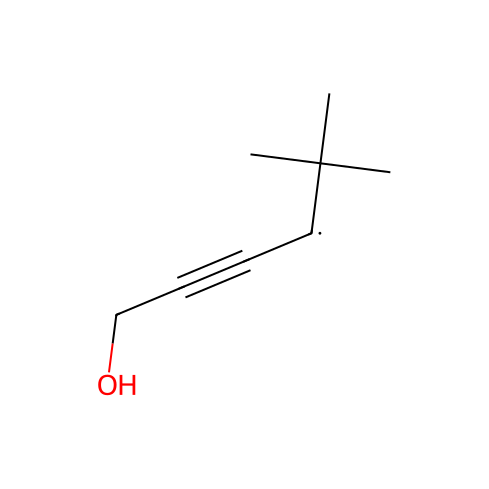 CC(C)(C)[CH]C#CCO